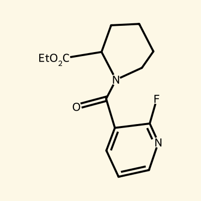 CCOC(=O)C1CCCCN1C(=O)c1cccnc1F